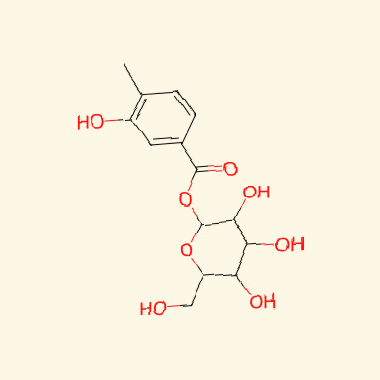 Cc1ccc(C(=O)OC2OC(CO)C(O)C(O)C2O)cc1O